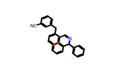 N#Cc1cccc(Cc2ccccc2/C=N\C(c2ccccc2)c2ccccc2)c1